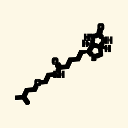 CC(C)CCOCCNC(=O)CCCC[C@@H]1SC[C@@H]2NC(=O)N[C@@H]21